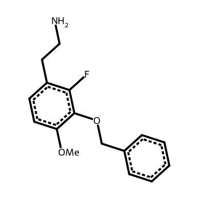 COc1ccc(CCN)c(F)c1OCc1ccccc1